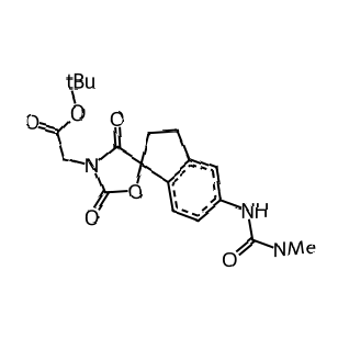 CNC(=O)Nc1ccc2c(c1)CCC21OC(=O)N(CC(=O)OC(C)(C)C)C1=O